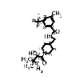 Cc1cc(C(=O)NCC2CCN(C(=O)[C@@H](O)C(C)(C)C)CC2)cc(C(F)(F)F)c1